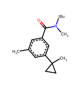 Cc1cc(C(=O)N(C)C(C)(C)C)cc(C2(C)CC2)c1